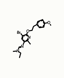 CCN(C)/C=N/c1cc(Br)c(OCCc2ccc(OC)cc2)nc1C